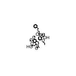 CCCOc1cccnc1C(=O)O.COc1cc2c(cc1OC)C(CC(=O)O)N(C(C)=O)CC2.O=C(O)CSCc1ccccc1